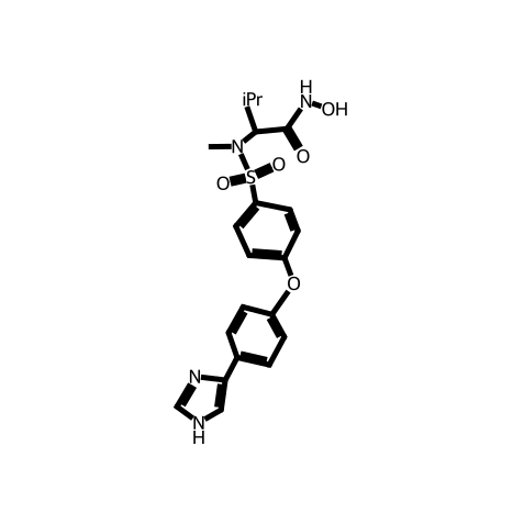 CC(C)C(C(=O)NO)N(C)S(=O)(=O)c1ccc(Oc2ccc(-c3c[nH]cn3)cc2)cc1